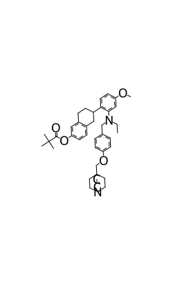 CCN(Cc1ccc(OCC23CCN(CC2)CC3)cc1)c1cc(OC)ccc1C1CCc2cc(OC(=O)C(C)(C)C)ccc2C1